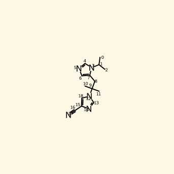 CC(C)n1cncc1CC(C)(C)n1cnc(C#N)c1